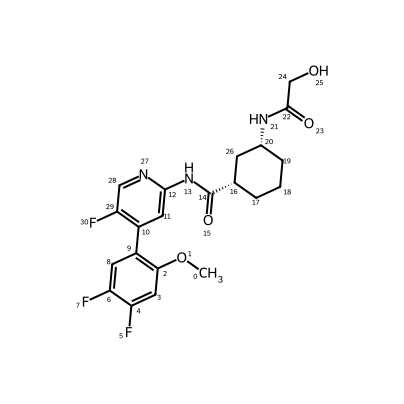 COc1cc(F)c(F)cc1-c1cc(NC(=O)[C@H]2CCC[C@@H](NC(=O)CO)C2)ncc1F